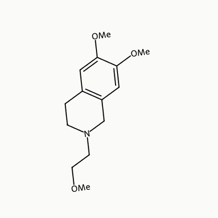 COCCN1CCc2cc(OC)c(OC)cc2C1